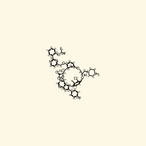 Cc1c2ccc(c1Cl)O[C@H](CN1CCN(C)CC1)COc1ccc(OCc3ccnc(-c4ccccc4OC(F)F)n3)c(c1)C[C@H](C(=O)O)Oc1ncnc3sc(-c4ccc(F)cc4)c-2c13